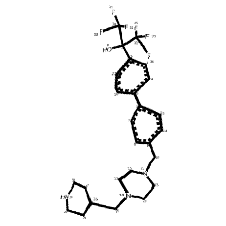 OC(c1ccc(-c2ccc(CN3CCN(CC4CCNCC4)CC3)cc2)cc1)(C(F)(F)F)C(F)(F)F